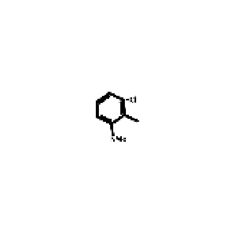 CNc1ccccc1C.Cl